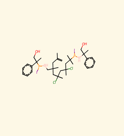 C=C(C)CC(C)(CBP(I)C(C)(CO)c1ccccc1)CC(C)(Cl)CC(C)(Cl)CC(C)(C)P(I)BC(C)(CO)c1ccccc1